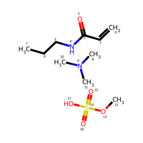 C=CC(=O)NCCC.CN(C)C.COS(=O)(=O)O